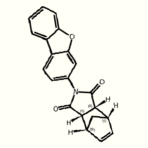 O=C1[C@@H]2[C@H](C(=O)N1c1ccc3c(c1)oc1ccccc13)[C@@H]1C=C[C@H]2C1